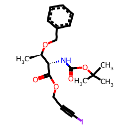 C[C@@H](OCc1ccccc1)[C@H](NC(=O)OC(C)(C)C)C(=O)OCC#CI